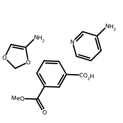 COC(=O)c1cccc(C(=O)O)c1.NC1=COCO1.Nc1cccnc1